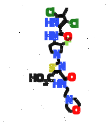 Cc1c(Cl)[nH]c(C(=O)N[C@@H]2CCN(c3nc(C(=O)NCCN4CCOCC4)c(C(=O)O)s3)C[C@@H]2F)c1Cl